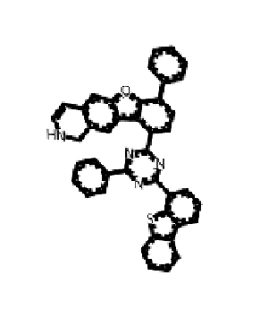 C1=Cc2cc3oc4c(-c5ccccc5)ccc(-c5nc(-c6ccccc6)nc(-c6cccc7c6sc6ccccc67)n5)c4c3cc2CN1